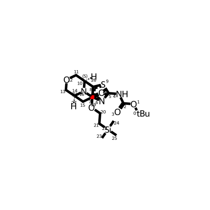 CC(C)(C)OC(=O)Nc1nc2c(s1)[C@@H]1COC[C@H](C2)N1C(=O)OCC[Si](C)(C)C